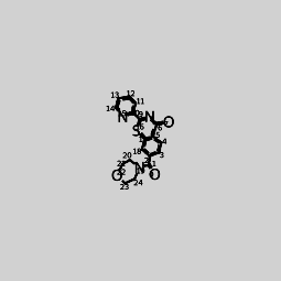 O=C(c1ccc2c(=O)nc(-c3ccccn3)sc2c1)N1CCOCC1